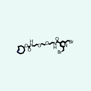 O=C(NCCOCCOCCNC(=O)c1cc(CBr)nc(CBr)c1)OC1CC/C=C/CCC1